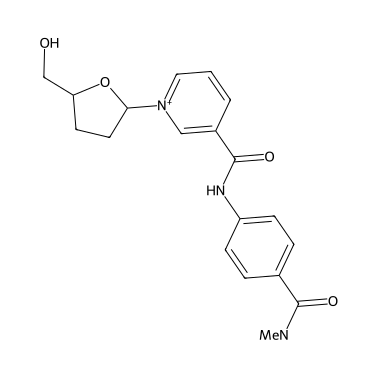 CNC(=O)c1ccc(NC(=O)c2ccc[n+](C3CCC(CO)O3)c2)cc1